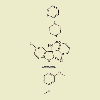 COc1ccc(S(=O)(=O)N2C(=O)C(NC(=O)N3CCN(c4ccccn4)CC3)(c3ccccc3Cl)c3cc(Cl)ccc32)c(OC)c1